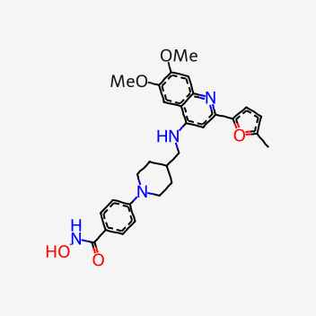 COc1cc2nc(-c3ccc(C)o3)cc(NCC3CCN(c4ccc(C(=O)NO)cc4)CC3)c2cc1OC